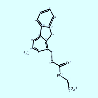 O.O=C(O)CNC(=O)OCc1cccc2c1Cc1ccccc1-2